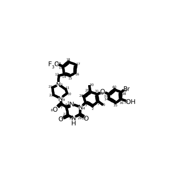 Cc1cc(-n2nc(C(=O)N3CCN(Cc4ccccc4C(F)(F)F)CC3)c(=O)[nH]c2=O)cc(C)c1Oc1ccc(O)c(Br)c1